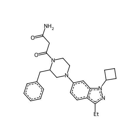 CCc1nn(C2CCC2)c2cc(N3CCN(C(=O)CC(N)=O)C(Cc4ccccc4)C3)ccc12